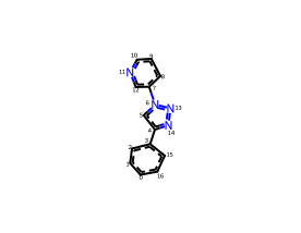 c1ccc(-c2cn(-c3cccnc3)nn2)cc1